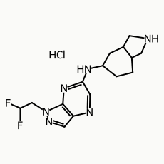 Cl.FC(F)Cn1ncc2ncc(NC3CCC4CNCC4C3)nc21